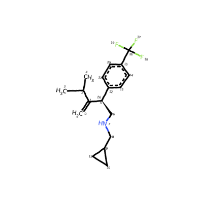 C=C(C(C)C)[C@H](CNCC1CC1)c1ccc(C(F)(F)F)cc1